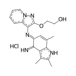 CC1=C/C(=N\c2c(OCCO)nn3ccccc23)C(=N)c2c1[nH]c(C)c2C.Cl